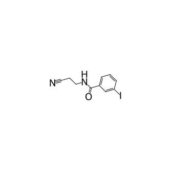 N#CCCNC(=O)c1cccc(I)c1